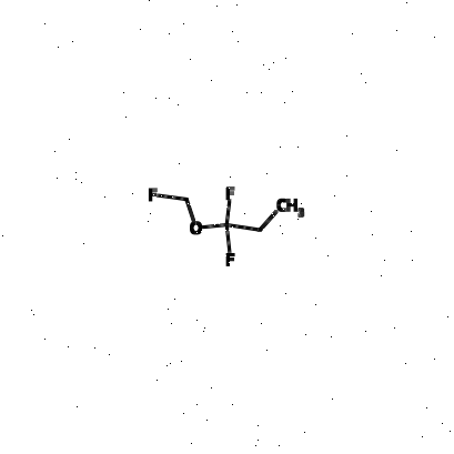 CCC(F)(F)OCF